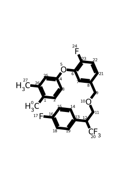 Cc1ccc(Oc2cc(COCC(c3ccc(F)cc3)C(F)(F)F)ccc2F)cc1C